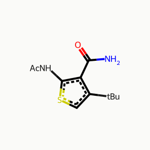 CC(=O)Nc1scc(C(C)(C)C)c1C(N)=O